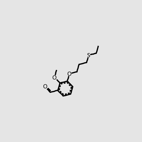 CCSCCCOc1cccc(C=O)c1OC